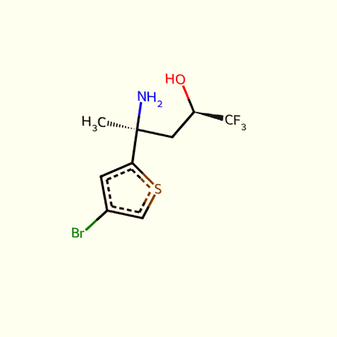 C[C@](N)(C[C@@H](O)C(F)(F)F)c1cc(Br)cs1